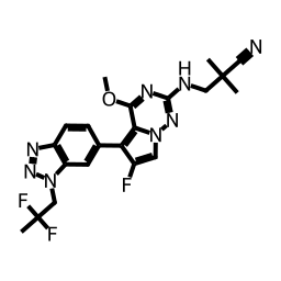 COc1nc(NCC(C)(C)C#N)nn2cc(F)c(-c3ccc4nnn(CC(C)(F)F)c4c3)c12